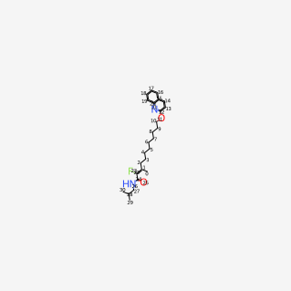 C/C(CCCCCCCCCOc1ccc2ccccc2n1)=C(/F)C(=O)NCC(C)C